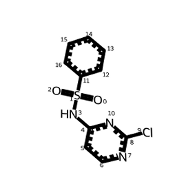 O=S(=O)(Nc1ccnc(Cl)n1)c1ccccc1